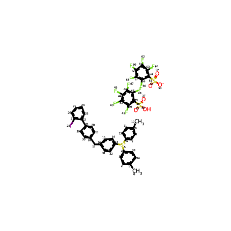 Cc1ccc([S+](c2ccc(C)cc2)c2ccc(Cc3ccc(-c4ccccc4I)cc3)cc2)cc1.O=S(=O)(O)c1c(F)c(F)c(F)c(F)c1F.O=S(=O)([O-])c1c(F)c(F)c(F)c(F)c1F